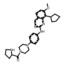 COc1ccc2cnc(Nc3ccc(N4CCN(C(=O)C5CCCN5)CC4)cc3)nc2c1C1CCCC1